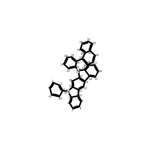 c1ccc(-n2c3ccccc3c3cc4c5ccccc5n(-c5ccccc5-c5cccc6ccccc56)c4cc32)cc1